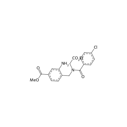 CCOC(=O)CN(Cc1ccc(C(=O)OC)cc1N)C(=O)c1ccc(Cl)cc1